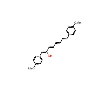 COc1ccc(C=CC=CC=CC(O)=Cc2ccc(OC)cc2)cc1